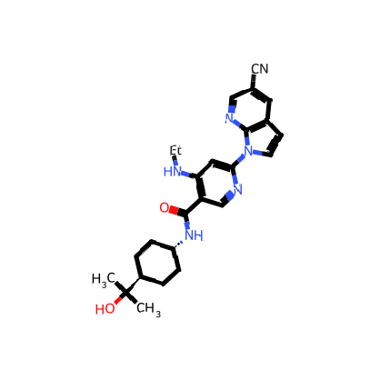 CCNc1cc(-n2ccc3cc(C#N)cnc32)ncc1C(=O)N[C@H]1CC[C@H](C(C)(C)O)CC1